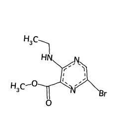 CCNc1ncc(Br)nc1C(=O)OC